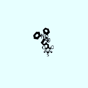 CN1C(=O)C(=CC2=CC=C(N(c3ccccc3)c3ccccc3)S2(=O)=O)C(=O)N(C)C1=S